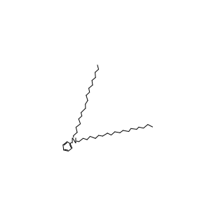 CCCCCCCCCCCCCCCCCCCN(CCCCCCCCCCCCCCCCCCC)c1ccccc1